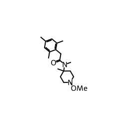 CON1CCC(C)(N(C)C(=O)Cc2c(C)cc(C)cc2C)CC1